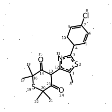 Cc1sc(C2C=CC(Cl)=CC2)nc1C1C(=O)C(C)(C)SC(C)(C)C1=O